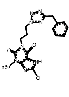 CCCCn1c(=O)n(CCCn2nnc(Cc3ccccc3)n2)c(=O)c2[nH]c(Cl)nc21